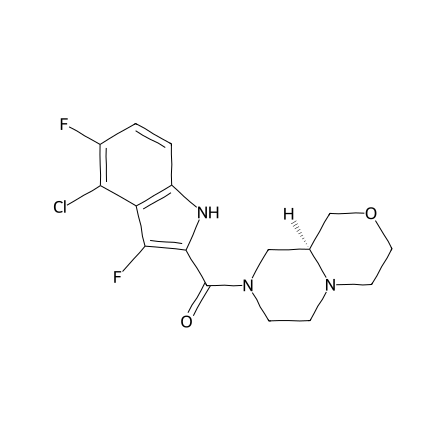 O=C(c1[nH]c2ccc(F)c(Cl)c2c1F)N1CCN2CCOC[C@@H]2C1